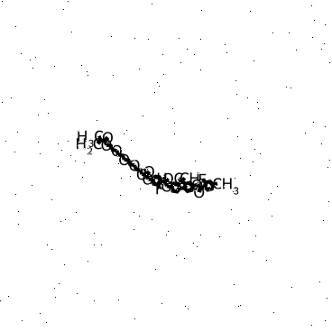 C=C(C)C(=O)OCCOCCOCCOCCOC(=O)Oc1ccc(C(=O)Oc2ccc3c(c2)C(C)(C)c2cc(OC(=O)c4ccc(C)cc4F)ccc2-3)c(F)c1